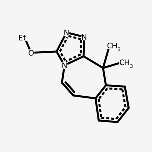 CCOc1nnc2n1C=Cc1ccccc1C2(C)C